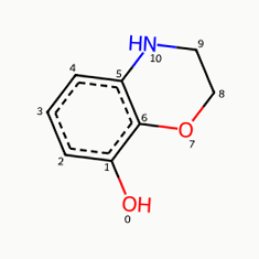 Oc1cccc2c1OCCN2